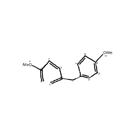 C=C(/C=C\C(=C)OC)Cc1ccc(OC)cc1